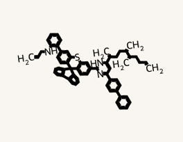 C=CCCC(=C)C(=C)CCC(=C)C1=CC(c2ccc(-c3ccccc3)cc2)=NC(c2ccc3c(c2)Sc2cc(-c4ccccc4NCC=C)ccc2C32c3ccccc3-c3ccccc32)N1